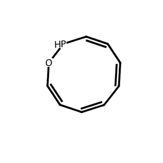 C1=CC=COPC=CC=C1